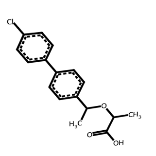 CC(OC(C)c1ccc(-c2ccc(Cl)cc2)cc1)C(=O)O